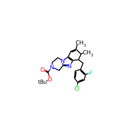 CC1=Cc2c(nc3n2CCN(C(=O)OC(C)(C)C)C3)C(Cc2ccc(Cl)cc2F)C1C